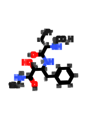 CC(C)C[C@H](NC(=O)O)C(=O)NC(Cc1ccccc1)C(O)C(=O)NC(C)(C)C